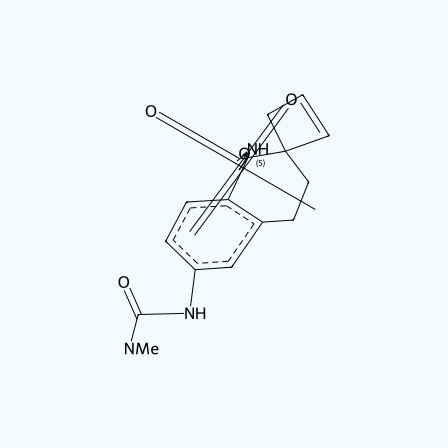 CNC(=O)Nc1ccc2c(c1)CCC1(C=CC1)[C@]21OC(=O)NC1=O